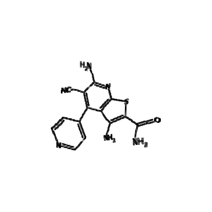 N#Cc1c(N)nc2sc(C(N)=O)c(N)c2c1-c1ccncc1